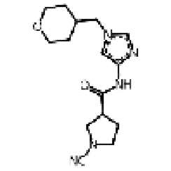 N#CN1CC[C@H](C(=O)Nc2cn(CC3CCOCC3)cn2)C1